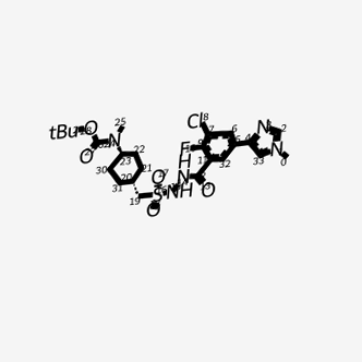 Cn1cnc(-c2cc(Cl)c(F)c(C(=O)NNS(=O)(=O)C[C@H]3CC[C@H](N(C)C(=O)OC(C)(C)C)CC3)c2)c1